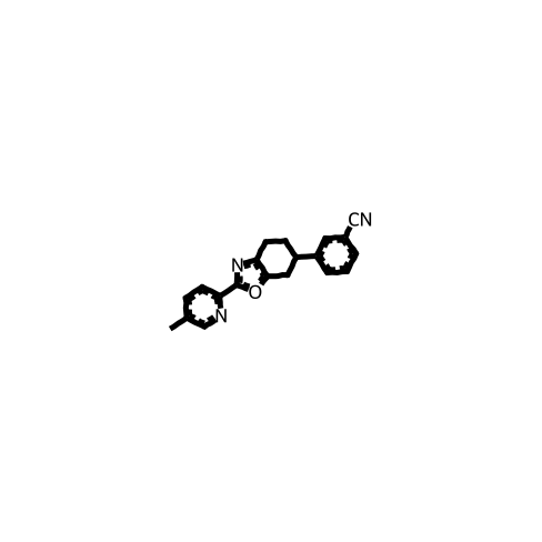 Cc1ccc(-c2nc3c(o2)CC(c2cccc(C#N)c2)CC3)nc1